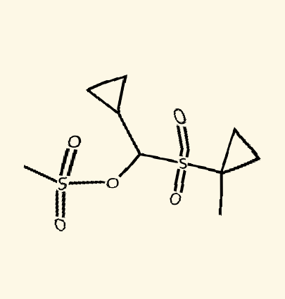 CC1(S(=O)(=O)C(OS(C)(=O)=O)C2CC2)CC1